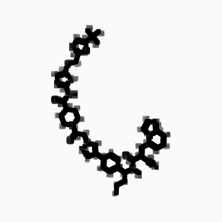 CCCC(c1ccc(-c2cnn(CC(=O)N3CCC(C(=O)Nc4ncc(SCc5ncc(C(C)(C)C)o5)s4)CC3)c2)cc1)N(C)C(=O)/C(C#N)=C/c1cccc2nccn12